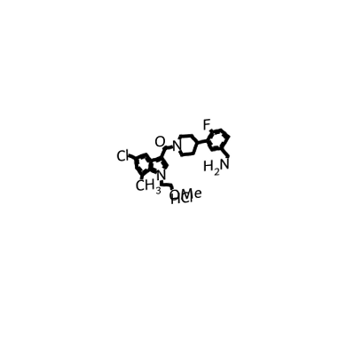 COCCn1cc(C(=O)N2CCC(c3cc(CN)ccc3F)CC2)c2cc(Cl)cc(C)c21.Cl